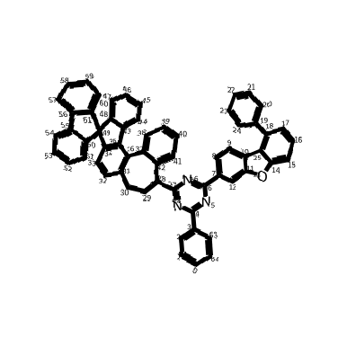 c1ccc(-c2nc(-c3ccc4c(c3)oc3cccc(-c5ccccc5)c34)nc(C3CCc4ccc5c(c4-c4ccccc43)-c3ccccc3C53c4ccccc4-c4ccccc43)n2)cc1